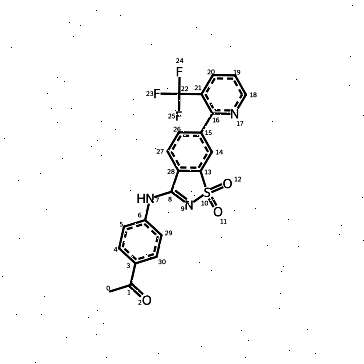 CC(=O)c1ccc(NC2=NS(=O)(=O)c3cc(-c4ncccc4C(F)(F)F)ccc32)cc1